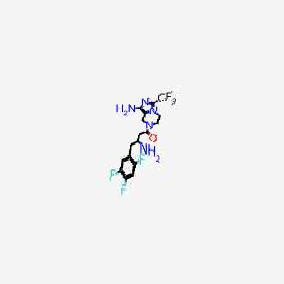 Nc1nc(C(F)(F)F)n2c1CN(C(=O)CC(N)Cc1cc(F)c(F)cc1F)CC2